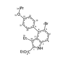 CCOC(=O)c1[nH]c2ccc(Br)c(-c3ccc(OC(C)C)cc3)c2c1CC